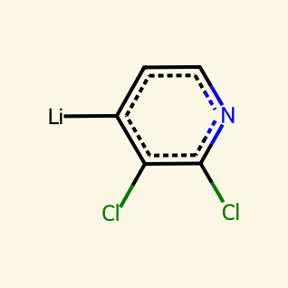 [Li][c]1ccnc(Cl)c1Cl